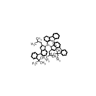 CC(C)CC1=Cc2c(-c3ccccc3C(C)(C)C)cccc2[CH]1[Zr]([c]1cccc2c1[SiH2]c1ccccc1-2)[CH]1C(CC(C)C)=Cc2c(-c3ccccc3C(C)(C)C)cccc21